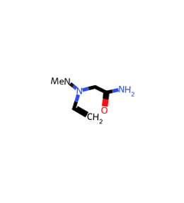 C=CN(CC(N)=O)NC